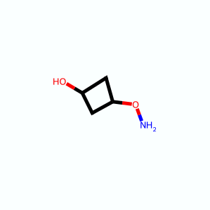 NOC1CC(O)C1